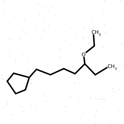 CCOC(CC)CCCCC1CCCC1